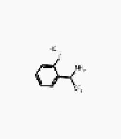 Cl.NC(c1ccccc1F)C(F)(F)F